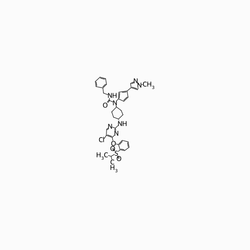 CC(C)S(=O)(=O)c1ccccc1Oc1nc(N[C@H]2CC[C@H](N(C(=O)NCc3ccccc3)c3ccc(-c4cnn(C)c4)cc3)CC2)ncc1Cl